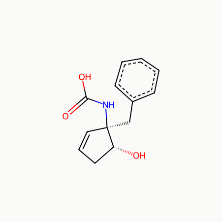 O=C(O)N[C@]1(Cc2ccccc2)C=CC[C@H]1O